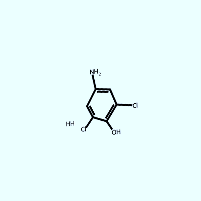 Nc1cc(Cl)c(O)c(Cl)c1.[HH]